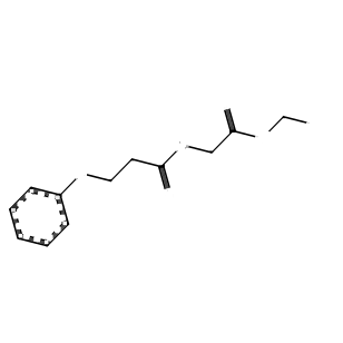 CCOC(=O)CNC(=O)CCSc1ccccc1